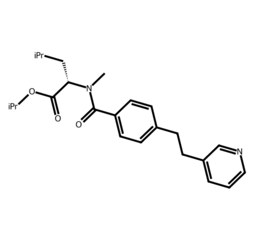 CC(C)C[C@@H](C(=O)OC(C)C)N(C)C(=O)c1ccc(CCc2cccnc2)cc1